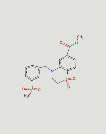 COC(=O)c1ccc2c(c1)N(Cc1cccc(S(C)(=O)=O)c1)CCS2(=O)=O